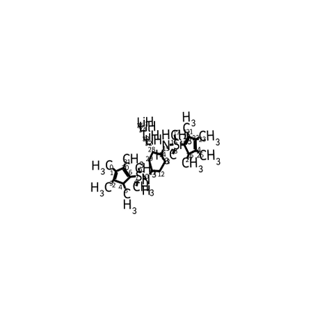 CC1=C(C)C(C)C([Si](C)(C)NC2CCC(N[Si](C)(C)C3=C(C)C(C)=C(C)C3C)CC2)=C1C.[LiH].[LiH].[LiH].[LiH]